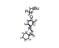 Cc1cc(OCC(F)(F)CC(C)(C)C)c(C)cc1/N=C/N(C)C1CCCCC1